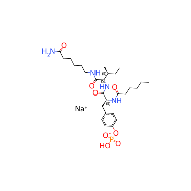 CCCCCC(=O)N[C@@H](Cc1ccc(OP(=O)([O-])O)cc1)C(=O)N[C@H](C(=O)NCCCCCC(N)=O)[C@@H](C)CC.[Na+]